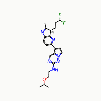 CC1=Nc2ccc(-c3ccn4nc(NCCOC(C)C)ncc34)nc2[C@@H]1CCC(F)F